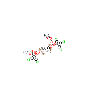 C=CC(=O)OCCOCC(COc1c(Br)cc(C(C)(C)c2cc(Br)c(OCC(COCCOC(=O)C=C)OC(=O)CC(c3ccc(Cl)cc3)(c3ccc(Cl)cc3)c3ccc(Cl)cc3)c(Br)c2)cc1Br)OC(=O)CC(c1ccc(Cl)cc1)(c1ccc(Cl)cc1)c1ccc(Cl)cc1